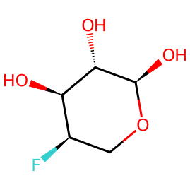 O[C@H]1[C@H](O)[C@@H](O)OC[C@H]1F